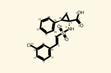 O=C(O)[C@]1(NS(=O)(=O)C=Cc2cccc(Cl)c2)C[C@@H]1c1ccccc1